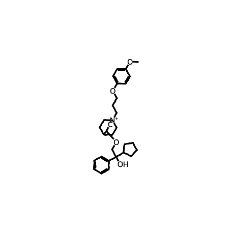 COc1ccc(OCCC[N+]23CCC(CC2)C(OCC(O)(c2ccccc2)C2CCCC2)C3)cc1